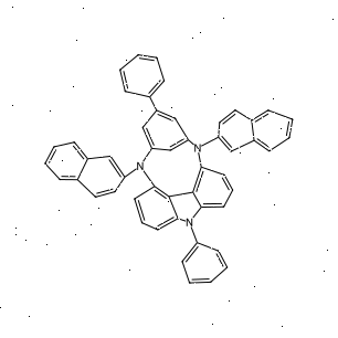 c1ccc(-c2cc3cc(c2)N(c2ccc4ccccc4c2)c2cccc4c2c2c(cccc2n4-c2ccccc2)N3c2ccc3ccccc3c2)cc1